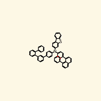 c1ccc(-c2ccccc2-c2cccc(-c3ccc(N(c4ccc(-c5cccc6cccc(-c7ccccc7)c56)cc4)c4ccc5c(c4)sc4ccccc45)cc3)c2)cc1